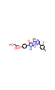 CC(C)[C@@H](c1ncc(-c2ccc(I)cc2F)[nH]1)N1C(=O)NC(c2ccc(OCC(O)CO)cc2)C1=O